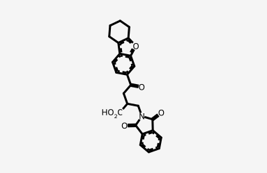 O=C(CC(CN1C(=O)c2ccccc2C1=O)C(=O)O)c1ccc2c3c(oc2c1)CCCC3